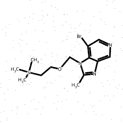 Cc1nc2cncc(Br)c2n1COCC[Si](C)(C)C